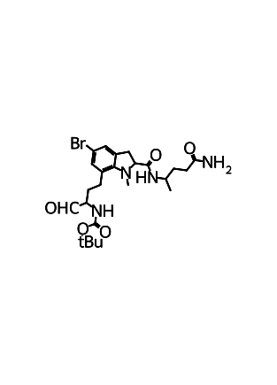 CC(CCC(N)=O)NC(=O)C1Cc2cc(Br)cc(CCC(C=O)NC(=O)OC(C)(C)C)c2N1C